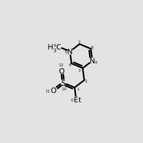 CCC(CC1=CN(C)CC=N1)=S(=O)=O